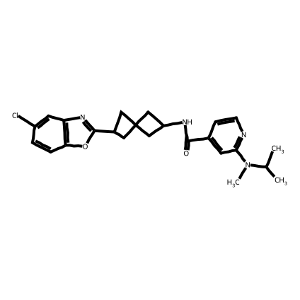 CC(C)N(C)c1cc(C(=O)NC2CC3(C2)CC(c2nc4cc(Cl)ccc4o2)C3)ccn1